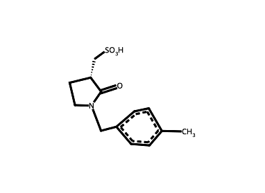 Cc1ccc(CN2CC[C@H](CS(=O)(=O)O)C2=O)cc1